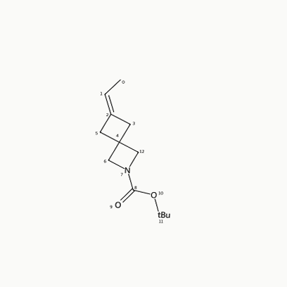 CC=C1CC2(C1)CN(C(=O)OC(C)(C)C)C2